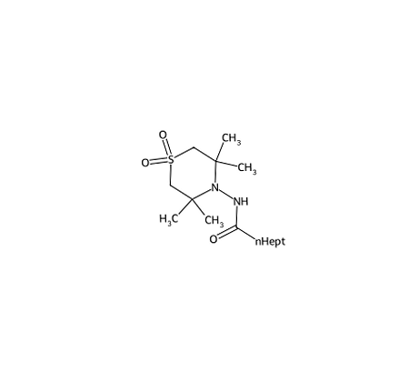 CCCCCCCC(=O)NN1C(C)(C)CS(=O)(=O)CC1(C)C